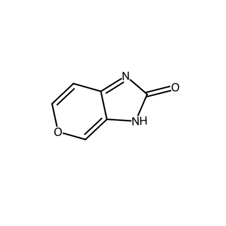 O=c1nc2ccocc-2[nH]1